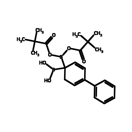 CC(C)(C)C(=O)OB(OC(=O)C(C)(C)C)C1(B(O)O)C=CC(c2ccccc2)=CC1